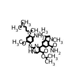 COc1cc(N(C)CCN(C)C)c(N)cc1Nc1ncc(C(=O)OC(C)C)c(-c2cc(C(N)=O)c3c(c2)c(C)cn3C)n1